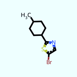 CC1CCC(c2ncc(Br)s2)CC1